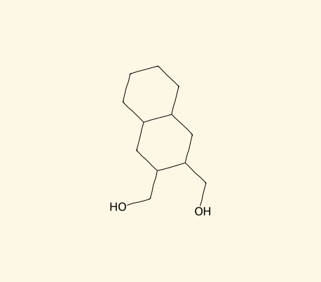 OCC1CC2CCCCC2CC1CO